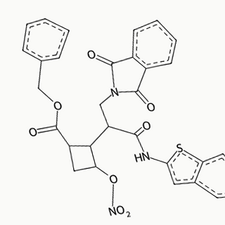 O=C(Nc1cc2ccncc2s1)C(CN1C(=O)c2ccccc2C1=O)C1C(O[N+](=O)[O-])CC1C(=O)OCc1ccccc1